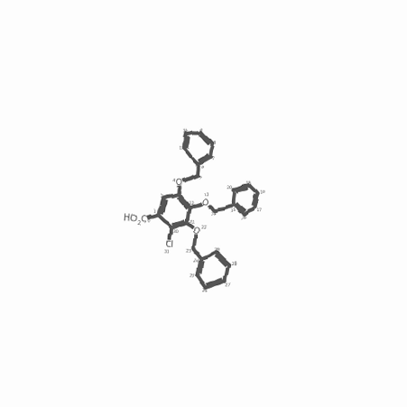 O=C(O)c1cc(OCc2ccccc2)c(OCc2ccccc2)c(OCc2ccccc2)c1Cl